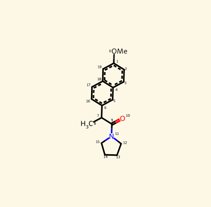 COc1ccc2cc(C(C)C(=O)N3CCCC3)ccc2c1